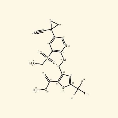 CCS(=O)(=O)c1cc(C2(C#N)CC2)cnc1NCc1cc(C(F)(F)F)sc1C(=O)OC